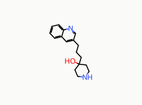 OC1(CCCc2cnc3ccccc3c2)CCNCC1